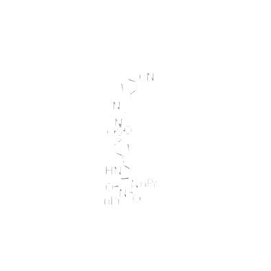 CCCn1c(=O)c2[nH]c(-c3ccc(S(=O)(=O)N4CCN(Cc5ccc(C#N)cc5)CC4)cc3)cc2n(CCC)c1=O